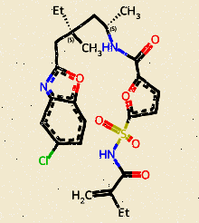 C=C(CC)C(=O)NS(=O)(=O)c1ccc(C(=O)N[C@@H](C)C[C@](C)(CC)Cc2nc3cc(Cl)ccc3o2)o1